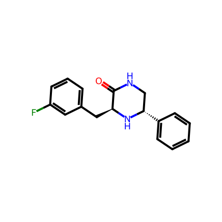 O=C1NC[C@H](c2ccccc2)N[C@H]1Cc1cccc(F)c1